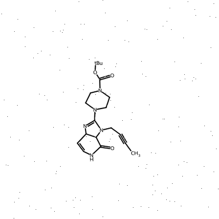 CC#CCN1C(N2CCN(C(=O)OC(C)(C)C)CC2)=NC2C=CNC(=O)C21